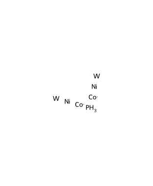 P.[Co].[Co].[Ni].[Ni].[W].[W]